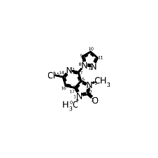 Cn1c(=O)n(C)c2c(-n3cccn3)nc(Cl)cc21